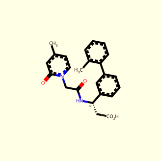 Cc1ccn(CC(=O)N[C@@H](CC(=O)O)c2cccc(-c3ccccc3C)c2)c(=O)c1